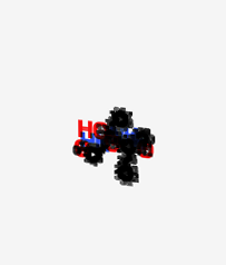 COc1cccc(CNC[C@H](O)[C@H](Cc2ccccc2)NC(=O)c2cc(CCc3ccccc3)cc(N3CCCC3=O)c2)c1